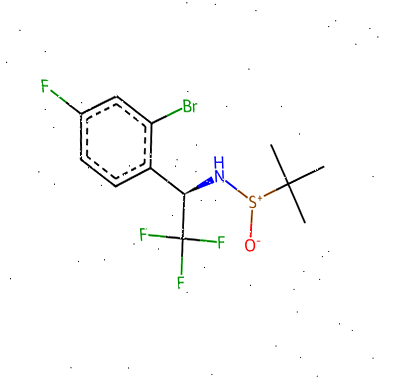 CC(C)(C)[S+]([O-])N[C@H](c1ccc(F)cc1Br)C(F)(F)F